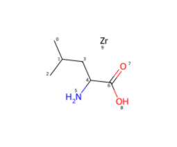 CC(C)CC(N)C(=O)O.[Zr]